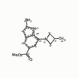 Bc1cc2nc(C(=O)OC)cc(N3CC(C)C3)n2n1